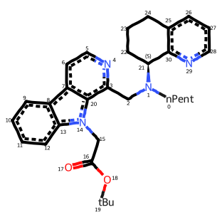 CCCCCN(Cc1nccc2c3ccccc3n(CC(=O)OC(C)(C)C)c12)[C@H]1CCCc2cccnc21